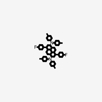 Cc1ccc(N(c2ccc(C)cc2)c2cc(-c3ccc(F)cc3)c3ccc4c(N(c5ccc(C)cc5)c5ccc(C)cc5)cc(-c5ccc(F)cc5)c5ccc2c3c54)cc1